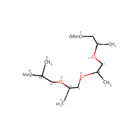 COCC(C)OCC(C)OCC(C)OCC(C)OC